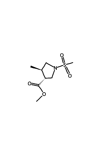 COC(=O)[C@H]1CN(S(C)(=O)=O)C[C@@H]1C